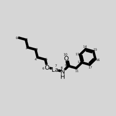 CCCCCC[O][La][NH]C(=O)Cc1ccccc1